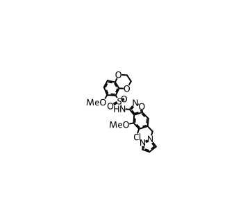 COc1ccc2c(c1S(=O)(=O)Nc1noc3cc(Cn4cccn4)c(Cl)c(OC)c13)OCCO2